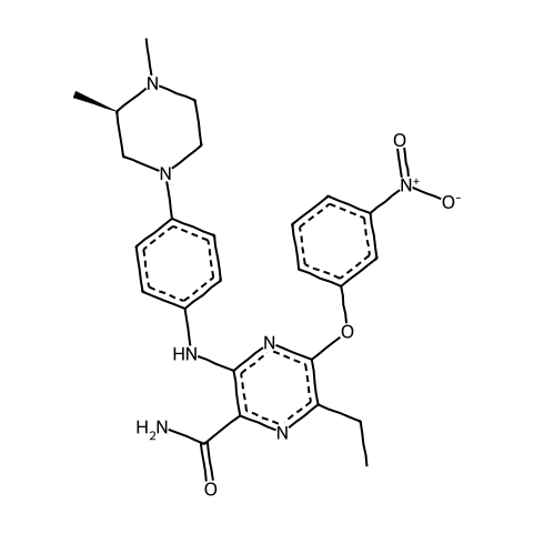 CCc1nc(C(N)=O)c(Nc2ccc(N3CCN(C)[C@H](C)C3)cc2)nc1Oc1cccc([N+](=O)[O-])c1